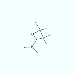 CB(C)P1OC(C)(C)C1(C)C